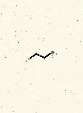 BCCF